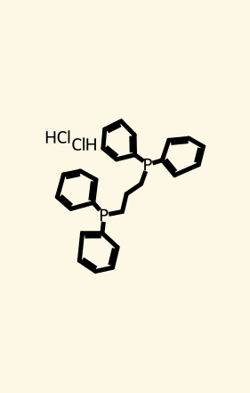 Cl.Cl.c1ccc(P(CCCP(c2ccccc2)c2ccccc2)c2ccccc2)cc1